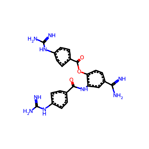 N=C(N)Nc1ccc(C(=O)Nc2cc(C(=N)N)ccc2OC(=O)c2ccc(NC(=N)N)cc2)cc1